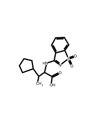 CC(C1CCCC1)C(NC1=NS(=O)(=O)c2ccccc21)C(=O)O